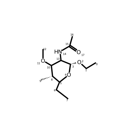 CCO[C@@H]1OC(CC)[C@H](C)C(OC)C1NC(C)=O